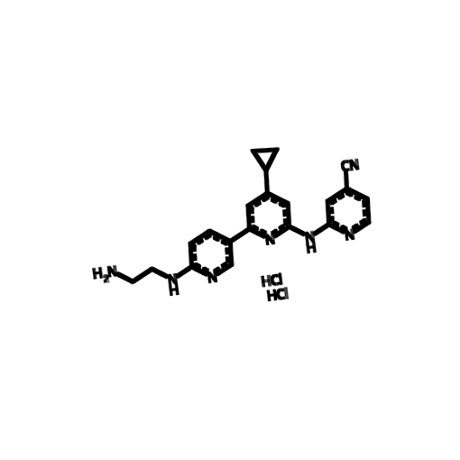 Cl.Cl.N#Cc1ccnc(Nc2cc(C3CC3)cc(-c3ccc(NCCN)nc3)n2)c1